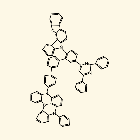 c1ccc(-c2nc(-c3ccccc3)nc(-c3ccc(-n4c5ccccc5c5c6sc7ccccc7c6ccc54)c(-c4cccc(-c5ccc(N6c7ccccc7B7c8ccccc8N(c8ccccc8)c8cccc6c87)cc5)c4)c3)n2)cc1